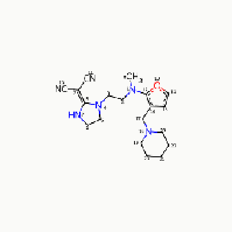 CN(CCN1CCNC1=C(C#N)C#N)c1occc1CN1CCCCC1